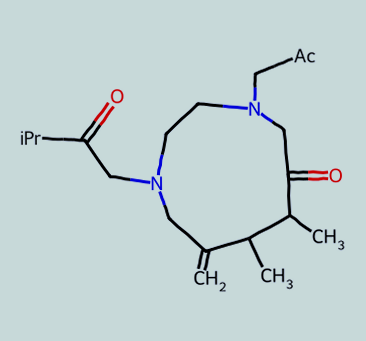 C=C1CN(CC(=O)C(C)C)CCN(CC(C)=O)CC(=O)C(C)C1C